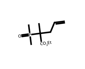 C=CCC(C)(C(=O)OCC)P(C)(C)=O